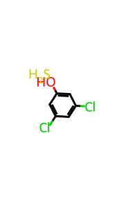 Oc1cc(Cl)cc(Cl)c1.S